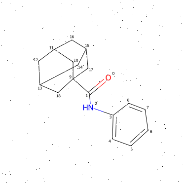 O=C(Nc1ccccc1)C12CC3CC(CC(C3)C1)C2